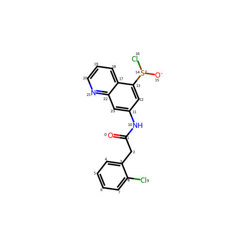 O=C(Cc1ccccc1Cl)Nc1cc([S+]([O-])Cl)c2cccnc2c1